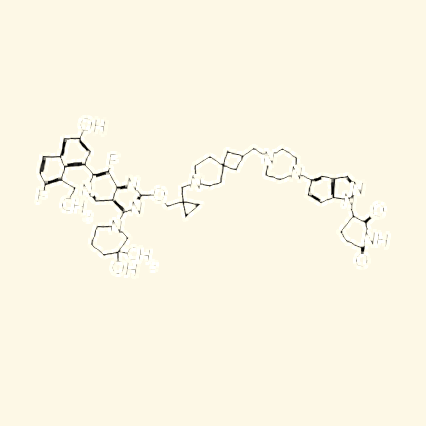 CCc1c(F)ccc2cc(O)cc(-c3ncc4c(N5CCC[C@@](C)(O)C5)nc(OCC5(CN6CCC7(CC6)CC(CN6CCN(c8ccc9c(cnn9C9CCC(=O)NC9=O)c8)CC6)C7)CC5)nc4c3F)c12